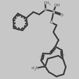 CN(CCc1ccccc1)P(=O)(O)OCCCC1=C\C=C/C2(N)CCCC\C(=C\1)CC2